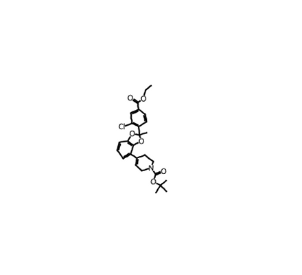 CCOC(=O)c1ccc(C2(C)Oc3cccc(C4=CCN(C(=O)OC(C)(C)C)CC4)c3O2)c(Cl)c1